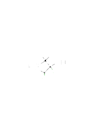 [CH2]C(Cl)C(C)(Cl)C(C)(C)CCC